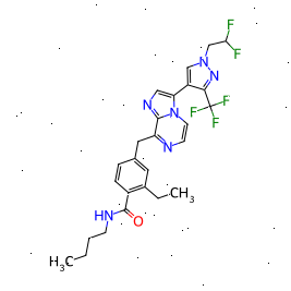 CCCCNC(=O)c1ccc(Cc2nccn3c(-c4cn(CC(F)F)nc4C(F)(F)F)cnc23)cc1CC